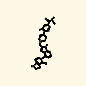 Cc1cc(C(=O)N(C)C)nnc1C1=CCN(Cc2cc3c(-n4ccc5c(c4=O)CCN5)ccnc3n2C)CC1